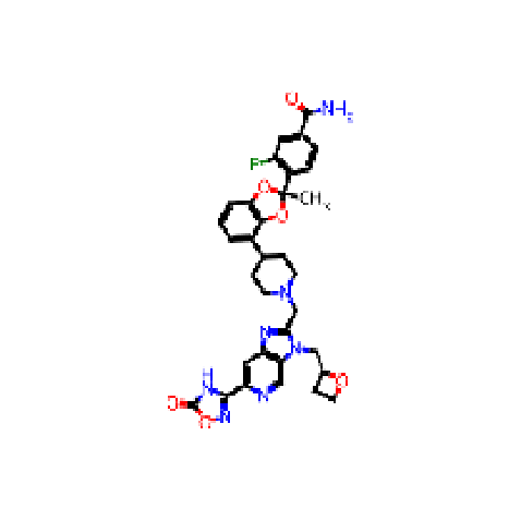 C[C@]1(c2ccc(C(N)=O)cc2F)Oc2cccc(C3CCN(Cc4nc5cc(-c6noc(=O)[nH]6)ncc5n4C[C@@H]4CCO4)CC3)c2O1